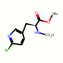 CC(C)(C)OC(=O)[C@H](Cc1ccc(Br)nc1)NC(=O)O